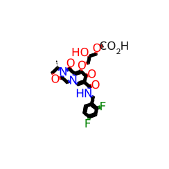 C[C@H]1COC2Cn3cc(C(=O)NCc4ccc(F)cc4F)c(=O)c(OCC(O)COC(=O)O)c3C(=O)N21